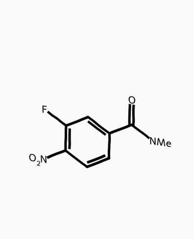 CNC(=O)c1ccc([N+](=O)[O-])c(F)c1